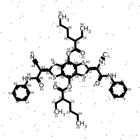 [C-]#[N+]C(C(=O)Nc1ccccc1)=C1Sc2c(OC(=O)C(CC)CCCC)c3c(c(OC(=O)C(CC)CCCC)c2S1)SC(=C(C#N)C(=O)Nc1ccccc1)S3